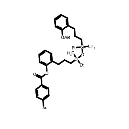 CC[Si](C)(CCCc1ccccc1OC)O[Si](C)(CC)CCCc1ccccc1OC(=O)c1ccc(C(C)=O)cc1